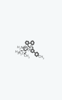 C=CC[C@H](C(N)=O)[C@@H](CC(C)C)C(=O)NC1C(=O)N(Cc2cccc(-c3ccc(C)cc3)c2)c2ccccc2-c2ccccc21